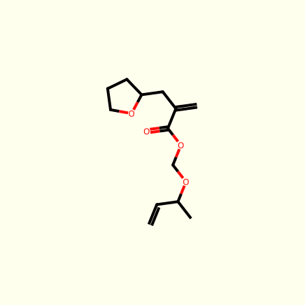 C=CC(C)OCOC(=O)C(=C)CC1CCCO1